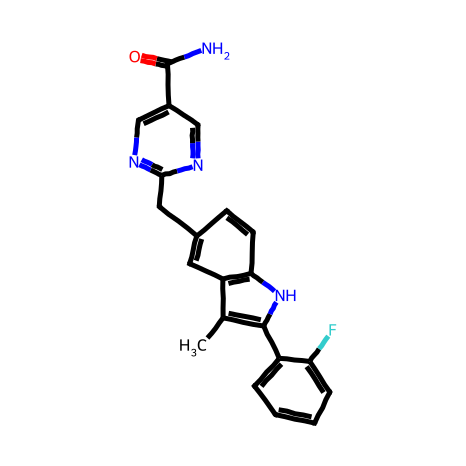 Cc1c(-c2ccccc2F)[nH]c2ccc(Cc3ncc(C(N)=O)cn3)cc12